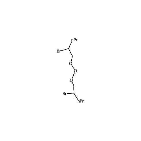 CCCC(Br)COOOCC(Br)CCC